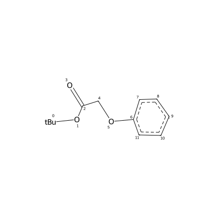 CC(C)(C)OC(=O)COc1cc[c]cc1